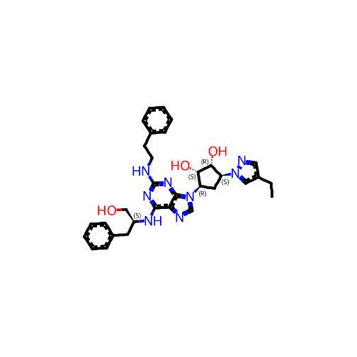 CCc1cnn([C@H]2C[C@@H](n3cnc4c(N[C@H](CO)Cc5ccccc5)nc(NCCc5ccccc5)nc43)[C@H](O)[C@@H]2O)c1